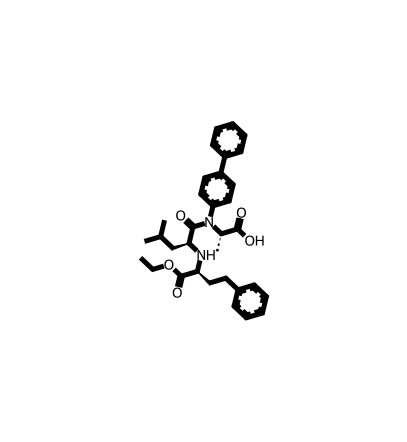 CCOC(=O)[C@H](CCc1ccccc1)N[C@@H](CC(C)C)C(=O)N(c1ccc(-c2ccccc2)cc1)[C@@H](C)C(=O)O